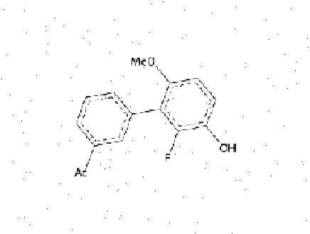 COc1ccc(O)c(F)c1-c1cccc(C(C)=O)c1